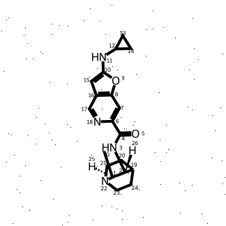 C[C@H]1[C@H](NC(=O)c2cc3oc(NC4CC4)cc3cn2)C2CCN1CC2